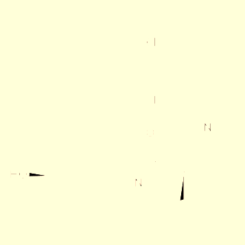 O=C1N([C@H]2CC[C@H](O)CC2)CC[C@@]12CCCN(c1cccc(Cl)c1F)C2